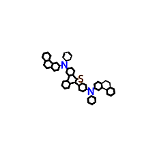 C1=CCC(N(c2ccc3ccc4ccccc4c3c2)c2ccc3c(c2)c2ccccc2c2c4ccc(N(c5ccccc5)c5ccc6c(c5)-c5ccccc5CC6)cc4sc32)C=C1